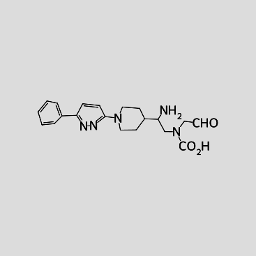 NC(CN(CC=O)C(=O)O)C1CCN(c2ccc(-c3ccccc3)nn2)CC1